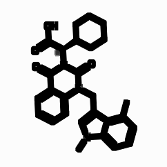 Cc1cccc2c1c(Cn1c(=O)n([C@@H](C(=O)O)C3CCCCC3)c(=O)c3ccccc31)cn2C